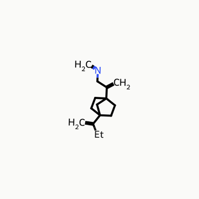 C=NCC(=C)C12CCC(C(=C)CC)(CC1)C2